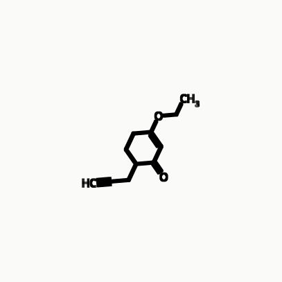 C#CCC1CCC(OCC)=CC1=O